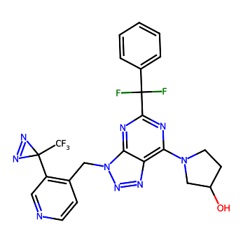 OC1CCN(c2nc(C(F)(F)c3ccccc3)nc3c2nnn3Cc2ccncc2C2(C(F)(F)F)N=N2)C1